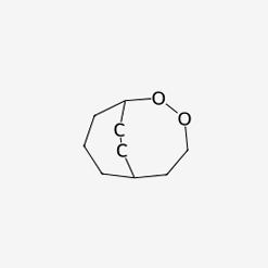 C1CC2CCOOC(C1)CC2